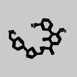 Cc1ccc(C(=O)NCc2cnn(-c3ccc(CN)cc3)c2)c(=O)n1-c1cccc(C(F)(F)F)c1